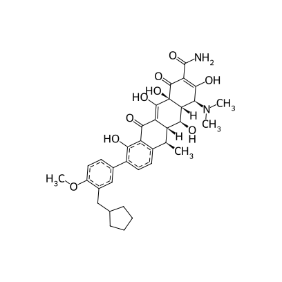 COc1ccc(-c2ccc3c(c2O)C(=O)C2=C(O)[C@]4(O)C(=O)C(C(N)=O)=C(O)[C@@H](N(C)C)[C@@H]4[C@@H](O)[C@@H]2[C@H]3C)cc1CC1CCCC1